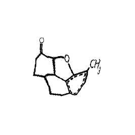 Cc1ccc2c3c1OC1C(=O)CCC(CC2)C31